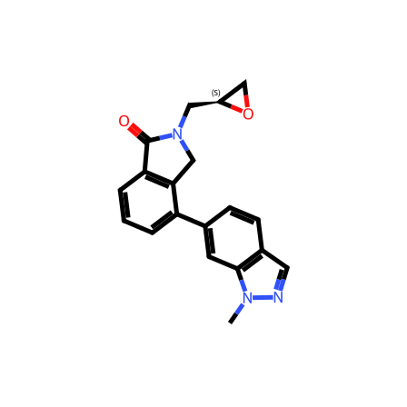 Cn1ncc2ccc(-c3cccc4c3CN(C[C@H]3CO3)C4=O)cc21